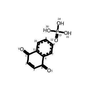 O=C1C=CC(=O)c2ccccc21.O=P(O)(O)O